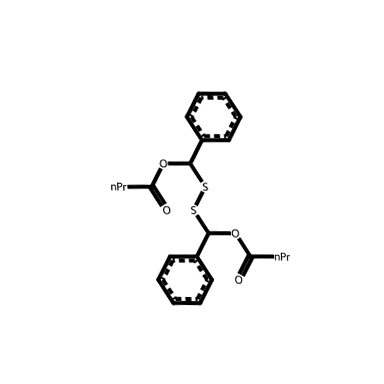 CCCC(=O)OC(SSC(OC(=O)CCC)c1ccccc1)c1ccccc1